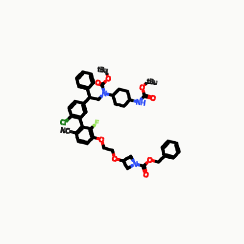 CC(C)(C)OC(=O)NC1CCC(N(CC(c2ccccc2)c2ccc(Cl)c(-c3c(C#N)ccc(OCCOC4CN(C(=O)OCc5ccccc5)C4)c3F)c2)C(=O)OC(C)(C)C)CC1